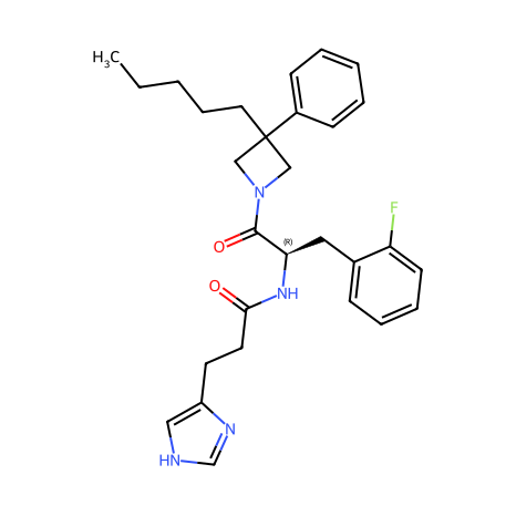 CCCCCC1(c2ccccc2)CN(C(=O)[C@@H](Cc2ccccc2F)NC(=O)CCc2c[nH]cn2)C1